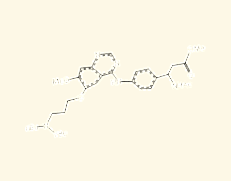 CCCCN(CCCC)CCCOc1cc2c(Nc3ccc(C(CC(=O)OC)NC(C)=O)cc3)ncnc2cc1OC